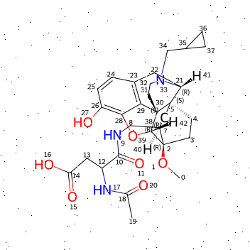 CO[C@]12CC[C@@]3(C[C@@H]1CNC(=O)C(CC(=O)O)NC(C)=O)[C@H]1Cc4ccc(O)c5c4[C@@]3(CCN1CC1CC1)[C@H]2O5